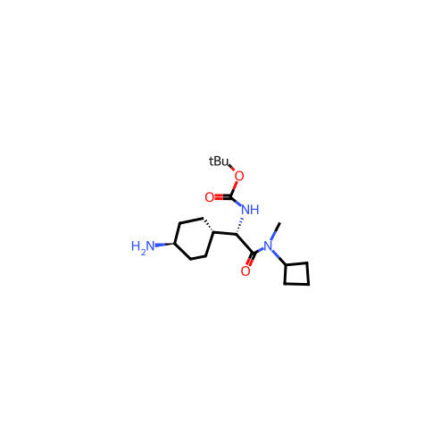 CN(C(=O)[C@@H](NC(=O)OC(C)(C)C)[C@H]1CC[C@H](N)CC1)C1CCC1